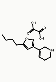 CCCCc1cc(C2=CCCNC2)no1.O=C(O)C(=O)O